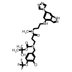 CN(CCCNc1cc(-n2cnnc2)cc2[nH]ncc12)C(=O)CCN(Cc1ccc(OC(F)(F)F)c(Cl)c1)C(=O)OC(C)(C)C